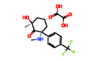 CN[C@@]1(c2ccc(C(F)(F)F)cc2)CCC[C@](C)(O)C1=O.O=C(O)C(=O)O